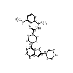 COc1cccc(C(C)NC(=O)N2CCN(c3ncnc4cc(N5CCOCC5)sc34)CC2)c1